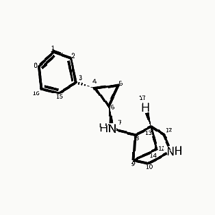 c1ccc([C@@H]2C[C@H]2NC2C3CNC[C@@H]2C3)cc1